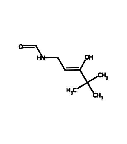 CC(C)(C)/C(O)=C/CNC=O